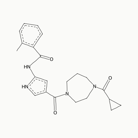 Cc1ccccc1C(=O)Nc1cc(C(=O)N2CCCN(C(=O)C3CC3)CC2)c[nH]1